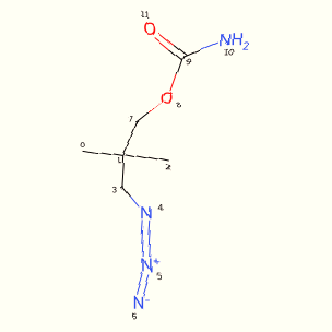 CC(C)(CN=[N+]=[N-])COC(N)=O